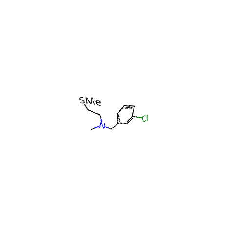 CSCCN(C)Cc1cccc(Cl)c1